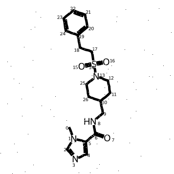 Cn1cncc1C(=O)NCC1CCN(S(=O)(=O)CCc2ccccc2)CC1